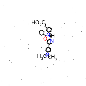 [2H]C(c1ccc(-c2ccc(N(C)C)cc2)cn1)N(C(=O)C1CCCCC1)c1cccc(/C=C/C(=O)O)c1